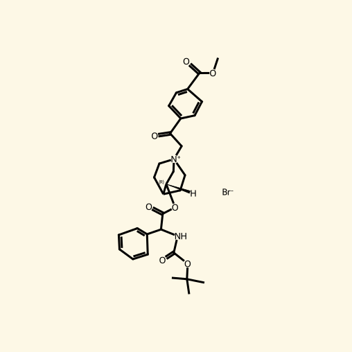 COC(=O)c1ccc(C(=O)C[N+]23CCC(CC2)[C@@H](OC(=O)C(NC(=O)OC(C)(C)C)c2ccccc2)C3)cc1.[Br-]